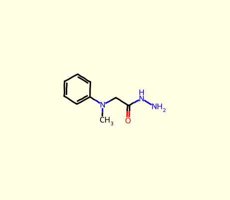 CN(CC(=O)NN)c1ccccc1